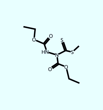 CCOC(=O)NN(C(=O)OCC)C(=S)SC